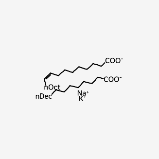 CCCCCCCC/C=C\CCCCCCCC(=O)[O-].CCCCCCCCCCCCCCCCCC(=O)[O-].[K+].[Na+]